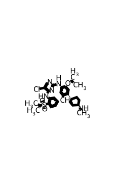 CN[C@H]1CC[C@H](c2cc(OC(C)C)c(Nc3ncc(Cl)c(Nc4ccccc4S(=O)(=O)C(C)C)n3)cc2C)CC1